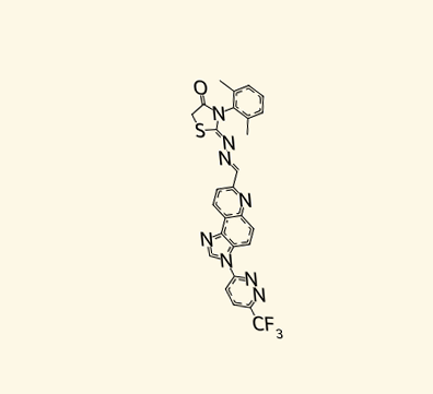 Cc1cccc(C)c1N1C(=O)CS/C1=N\N=C\c1ccc2c(ccc3c2ncn3-c2ccc(C(F)(F)F)nn2)n1